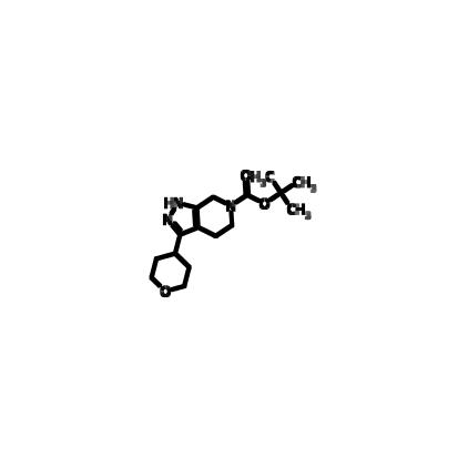 CC(C)(C)OC(=O)N1CCc2c(C3CCOCC3)n[nH]c2C1